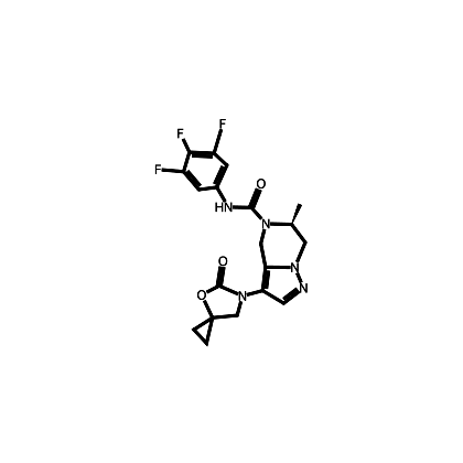 C[C@H]1Cn2ncc(N3CC4(CC4)OC3=O)c2CN1C(=O)Nc1cc(F)c(F)c(F)c1